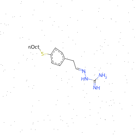 CCCCCCCCSc1ccc(CC=NNC(=N)N)cc1